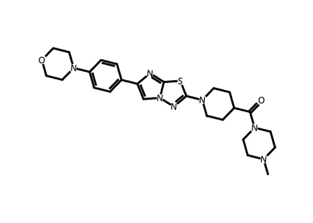 CN1CCN(C(=O)C2CCN(c3nn4cc(-c5ccc(N6CCOCC6)cc5)nc4s3)CC2)CC1